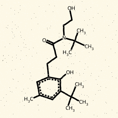 Cc1cc(CCC(=O)N(CCO)C(C)(C)C)c(O)c(C(C)(C)C)c1